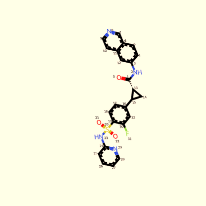 O=C(Nc1ccc2cnccc2c1)[C@@H]1CC1c1ccc(S(=O)(=O)Nc2ccccn2)c(F)c1